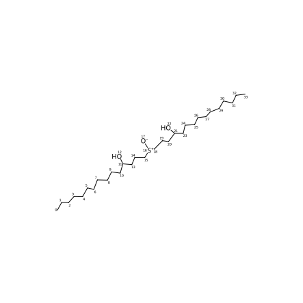 CCCCCCCCCCCC(O)CCC[S+]([O-])CCCC(O)CCCCCCCCCCC